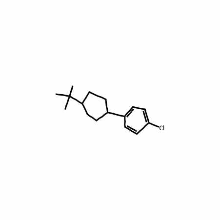 CC(C)(C)C1CCC(c2ccc(Cl)cc2)CC1